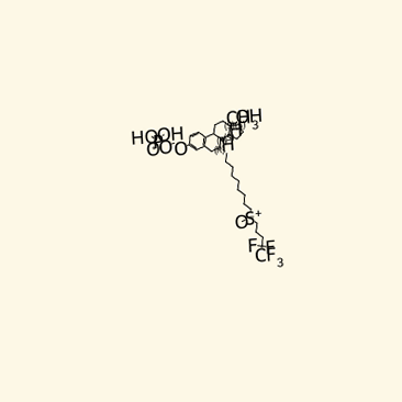 C[C@]12CCC3c4ccc(OCOP(=O)(O)O)cc4C[C@@H](CCCCCCCCC[S+]([O-])CCCC(F)(F)C(F)(F)F)[C@H]3[C@@H]1CC[C@@H]2O